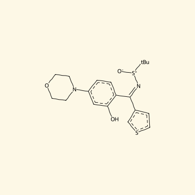 CC(C)(C)[S+]([O-])/N=C(/c1ccsc1)c1ccc(N2CCOCC2)cc1O